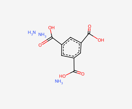 N.N.N.O=C(O)c1cc(C(=O)O)cc(C(=O)O)c1